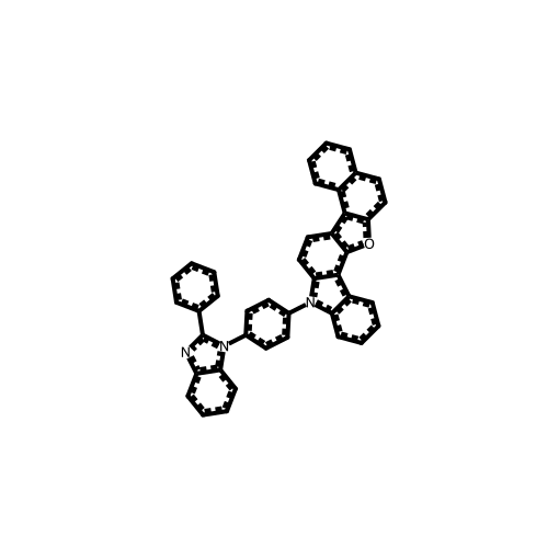 c1ccc(-c2nc3ccccc3n2-c2ccc(-n3c4ccccc4c4c5oc6ccc7ccccc7c6c5ccc43)cc2)cc1